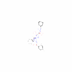 Cc1ccc(C(=O)Cn2c3c(s/c2=N\C(=O)C(=O)NCc2ccccc2)CCCC3)cc1